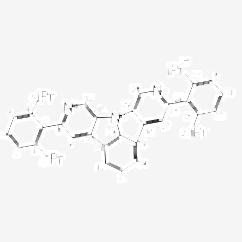 CC(C)c1cccc(C(C)C)c1-c1cc2c3cccc4c5cc(-c6c(C(C)C)cccc6C(C)C)ncc5n(c2cn1)c34